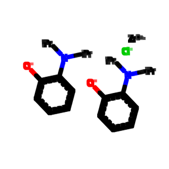 CC(C)N(c1ccccc1[O-])C(C)C.CC(C)N(c1ccccc1[O-])C(C)C.[Cl-].[Zr+3]